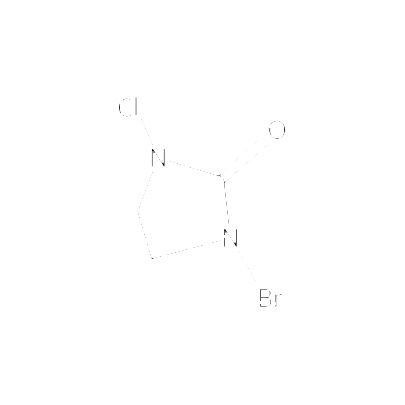 O=C1N(Cl)CCN1Br